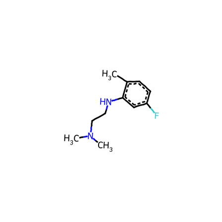 Cc1ccc(F)cc1NCCN(C)C